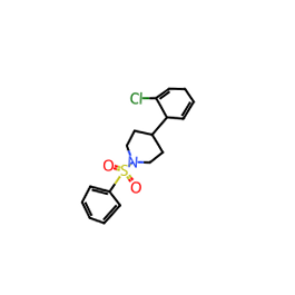 O=S(=O)(c1ccccc1)N1CCC(C2C=CCC=C2Cl)CC1